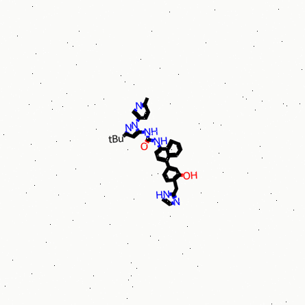 Cc1ccc(-n2nc(C(C)(C)C)cc2NC(=O)Nc2ccc(-c3ccc(Cc4ncc[nH]4)c(O)c3)c3ccccc23)cn1